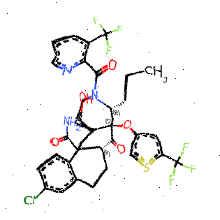 CCC[C@H]1N(C(=O)c2ncccc2C(F)(F)F)CCC[C@@]1(Oc1csc(C(F)(F)F)c1)C(=O)[C@@H]1CCc2cc(Cl)ccc2C1(CCO)C(N)=O